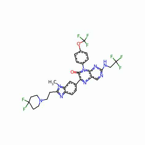 Cn1c(CCN2CCC(F)(F)CC2)nc2ccc(-c3nc4cnc(NCC(F)(F)F)nc4n(-c4ccc(OC(F)(F)F)cc4)c3=O)cc21